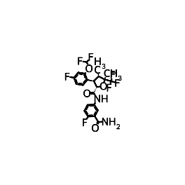 C[C@H]1[C@H](c2ccc(F)cc2OC(F)F)[C@@H](C(=O)Nc2ccc(F)c(C(N)=O)c2)O[C@]1(C)C(F)(F)F